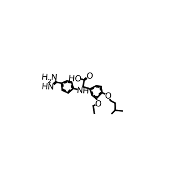 CCOc1cc([C@@H](Nc2ccc(C(=N)N)cc2)C(=O)O)ccc1OCCC(C)C